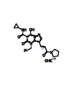 CC(C)Cn1c(=O)c(C(=O)NC2CC2)c(O)n2ncc(/C=C/C(=O)N3CCC[C@@H]3C=O)c12